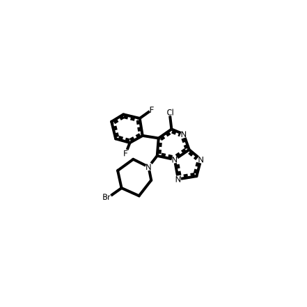 Fc1cccc(F)c1-c1c(Cl)nc2ncnn2c1N1CCC(Br)CC1